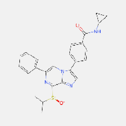 CC(C)[S@+]([O-])c1nc(-c2ccccc2)cn2c(-c3ccc(C(=O)NC4CC4)cc3)cnc12